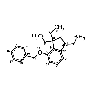 CCN1CC(CC)(CC)c2c(OCc3ccccc3)cccc21